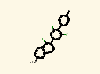 CCCCc1ccc2c(F)c(-c3cc(F)c(-c4ccc(C)cc4)c(F)c3)ccc2c1